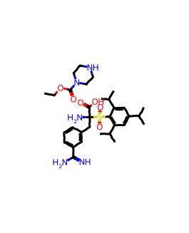 CC(C)c1cc(C(C)C)c(S(=O)(=O)C(N)(Cc2cccc(C(=N)N)c2)C(=O)O)c(C(C)C)c1.CCOC(=O)N1CCNCC1